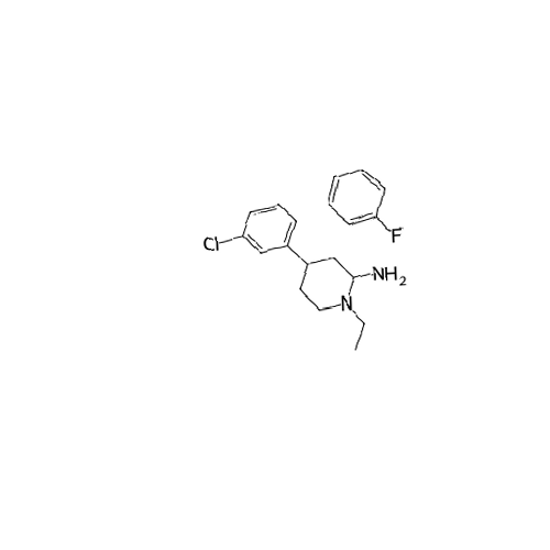 CCN1CCC(c2cccc(Cl)c2)CC1N.Fc1ccccc1